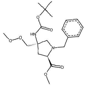 COOC[C@@]1(NC(=O)OC(C)(C)C)C[C@H](C(=O)OC)N(Cc2ccccc2)C1